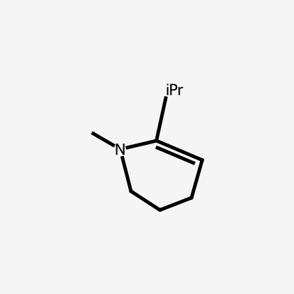 CC(C)C1=CCCCN1C